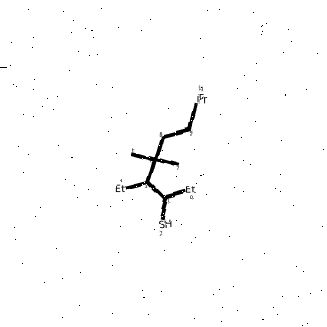 CCC(S)C(CC)C(C)(C)CCC(C)C